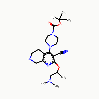 CC(CN(C)C)Oc1nc2c(c(N3CCN(C(=O)OC(C)(C)C)CC3)c1C#N)CCNC2